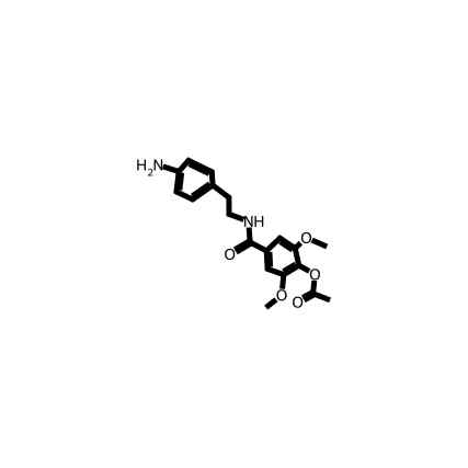 COc1cc(C(=O)NCCc2ccc(N)cc2)cc(OC)c1OC(C)=O